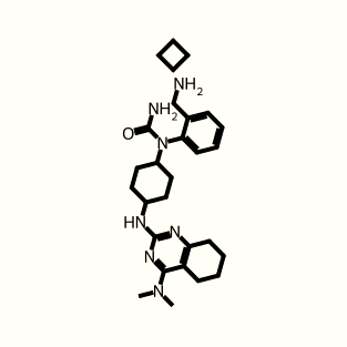 C1CCC1.CN(C)c1nc(NC2CCC(N(C(N)=O)c3ccccc3CN)CC2)nc2c1CCCC2